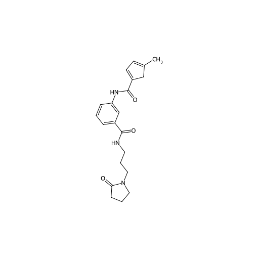 CC1=CC=C(C(=O)Nc2cccc(C(=O)NCCCN3CCCC3=O)c2)C1